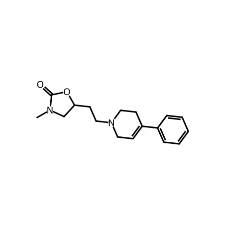 CN1CC(CCN2CC=C(c3ccccc3)CC2)OC1=O